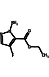 Bn1ncc(F)c1C(=O)OCC